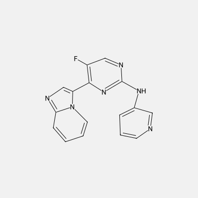 Fc1cnc(Nc2cccnc2)nc1-c1cnc2ccccn12